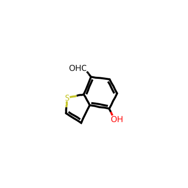 O=Cc1ccc(O)c2ccsc12